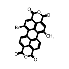 Cc1cc2c3c(cc(Br)c4c5ccc6c7c(ccc(c1c34)c75)C(=O)OC6=O)C(=O)OC2=O